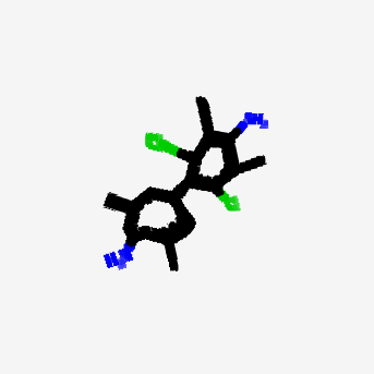 Cc1cc(-c2c(Cl)c(C)c(N)c(C)c2Cl)cc(C)c1N